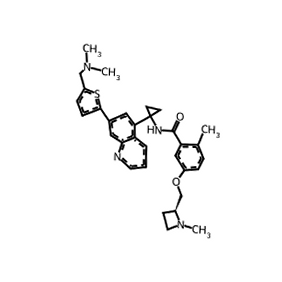 Cc1ccc(OC[C@@H]2CCN2C)cc1C(=O)NC1(c2cc(-c3ccc(CN(C)C)s3)cc3ncccc23)CC1